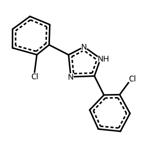 Clc1ccccc1-c1n[nH]c(-c2ccccc2Cl)n1